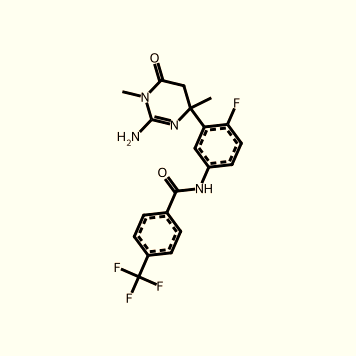 CN1C(=O)CC(C)(c2cc(NC(=O)c3ccc(C(F)(F)F)cc3)ccc2F)N=C1N